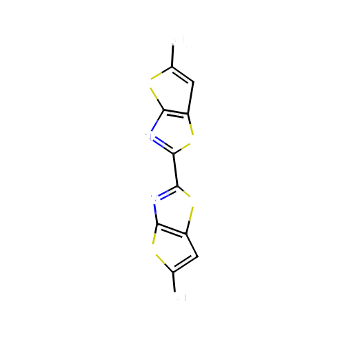 Bc1cc2sc(-c3nc4sc(B)cc4s3)nc2s1